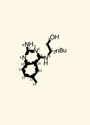 CCCC[C@@H](CO)Nc1nc(N)nc2ccc(C)cc12